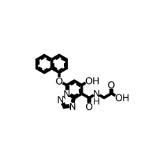 O=C(O)CNC(=O)c1c(O)cc(Oc2cccc3ccccc23)n2ncnc12